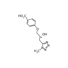 Cn1nnnc1C[C@@H](O)COc1ccc(C(=O)O)cc1